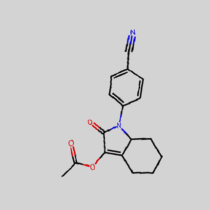 CC(=O)OC1=C2CCCCC2N(c2ccc(C#N)cc2)C1=O